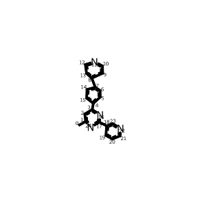 Cc1cc(-c2ccc(-c3ccncc3)cc2)nc(-c2cccnc2)n1